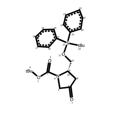 CC(C)(C)OC(=O)N1CC(=O)C[C@H]1CO[Si](c1ccccc1)(c1ccccc1)C(C)(C)C